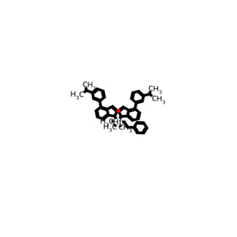 CC(C)c1cccc(-c2cccc3c2C=C[CH]3[Hf]([CH3])([CH3])([CH3])(=[CH]Cc2ccccc2)[CH]2C=Cc3c(-c4cccc(C(C)C)c4)cccc32)c1